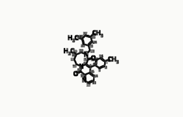 Cc1ccc(-c2c3n(c(=O)c4ncccc24)CCC(C)CN(Cc2cc(C)cc(C)c2)C3=O)cc1